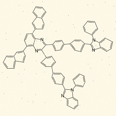 c1ccc(-n2c(-c3ccc(-c4ccc(-c5nc6c(-c7ccc8ccccc8c7)ccc(-c7ccc8ccccc8c7)c6nc5-c5ccc(-c6ccc(-c7nc8ccccc8n7-c7ccccc7)cc6)cc5)cc4)cc3)nc3ccccc32)cc1